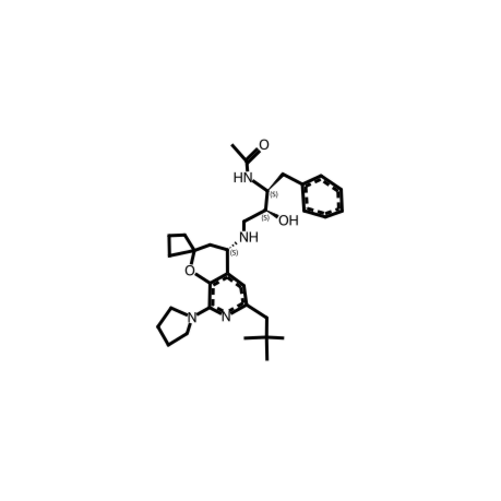 CC(=O)N[C@@H](Cc1ccccc1)[C@@H](O)CN[C@H]1CC2(CCC2)Oc2c1cc(CC(C)(C)C)nc2N1CCCC1